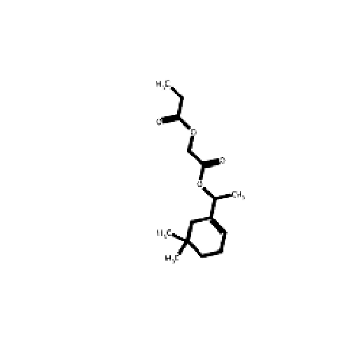 CCC(=O)OCC(=O)OC(C)C1=CCCC(C)(C)C1